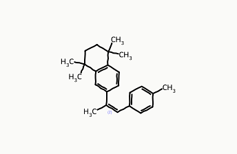 C/C(=C/c1ccc(C)cc1)c1ccc2c(c1)C(C)(C)CCC2(C)C